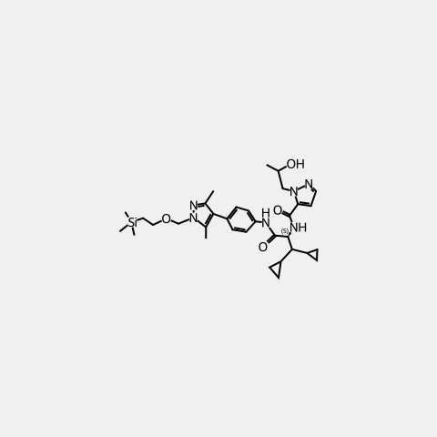 Cc1nn(COCC[Si](C)(C)C)c(C)c1-c1ccc(NC(=O)[C@@H](NC(=O)c2ccnn2CC(C)O)C(C2CC2)C2CC2)cc1